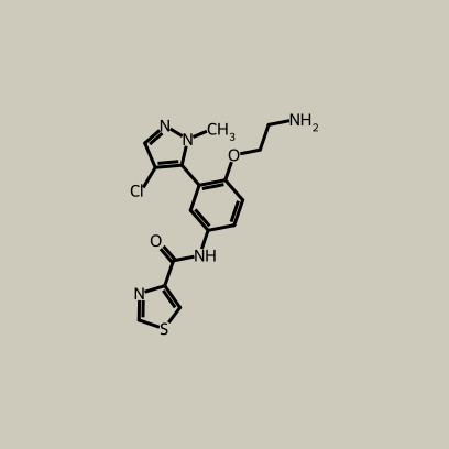 Cn1ncc(Cl)c1-c1cc(NC(=O)c2cscn2)ccc1OCCN